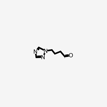 O=[C]CCCn1cncn1